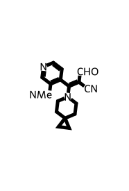 CNc1cnccc1/C(=C(/C#N)C=O)N1CCC2(CC1)CC2